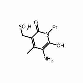 CCn1c(O)c(N)c(C)c(CS(=O)(=O)O)c1=O